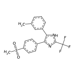 Cc1cccc(-c2[nH]c(C(F)(F)F)nc2-c2ccc(S(C)(=O)=O)cc2)c1